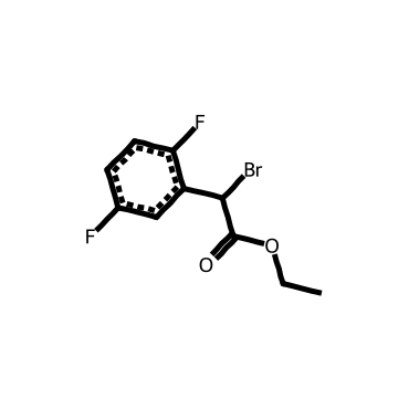 CCOC(=O)C(Br)c1cc(F)ccc1F